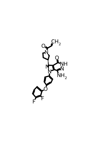 C=CC(=O)N1CC[C@H](c2nn(-c3ccc(Oc4cccc(F)c4F)cc3)c3c(N)n[nH]c(=O)c23)C1